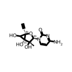 C#C[C@]12O[C@@H](n3ccc(N)nc3=O)[C@](C)(O)[C@@]1(O)C2O